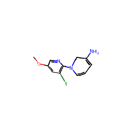 COc1cnc(N2C=CC=C(N)C2)c(F)c1